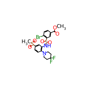 COC(=O)c1ccc(Br)c(S(=O)(=O)Nc2cc(S(C)(=O)=O)ccc2N2CCC(F)(F)CC2)c1